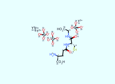 N[C@@H](CCC(=O)N[C@@H](CS)C(=O)NCC(=O)O)C(=O)O.[O-][Si]([O-])([O-])[O-].[O-][Si]([O-])([O-])[O-].[O-][Si]([O-])([O-])[O-].[Y+3].[Y+3].[Y+3].[Y+3]